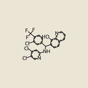 Oc1c(C(Nc2cc(Cl)c(Cl)cn2)c2ccc(C(F)(F)F)c(Cl)c2)ccc2cccnc12